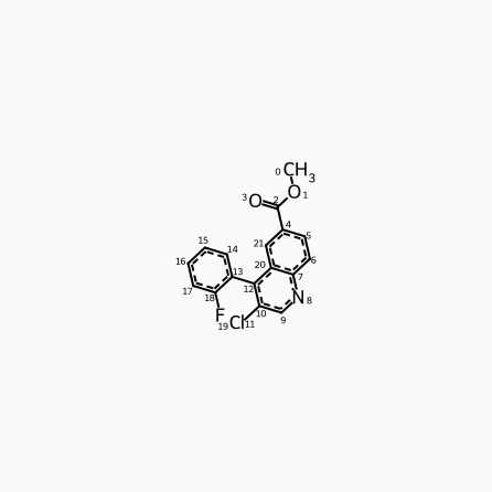 COC(=O)c1ccc2ncc(Cl)c(-c3ccccc3F)c2c1